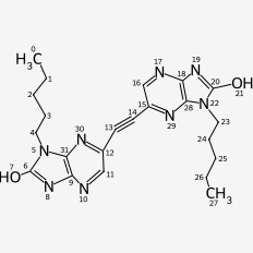 CCCCCn1c(O)nc2ncc(C#Cc3cnc4nc(O)n(CCCCC)c4n3)nc21